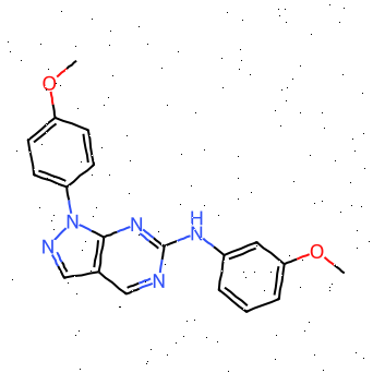 COc1ccc(-n2ncc3cnc(Nc4cccc(OC)c4)nc32)cc1